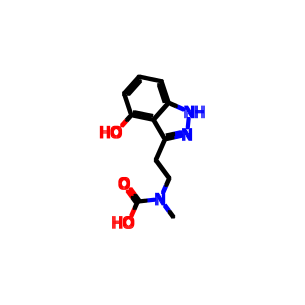 CN(CCc1n[nH]c2cccc(O)c12)C(=O)O